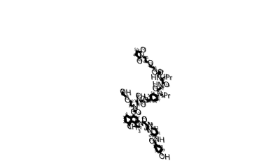 Cc1cccc2c(OC(=O)N(CCOCCO)CCN(C)C(=O)OCc3ccc(N(C(=O)CNC(=O)[C@@H](NC(=O)OCCOCCN4C(=O)C=CC4=O)C(C)C)C(C)C)cc3)cc3c(c12)CCN3C(=O)c1cn2cc(NC(=O)c3ccc(O)cc3)ccc2n1